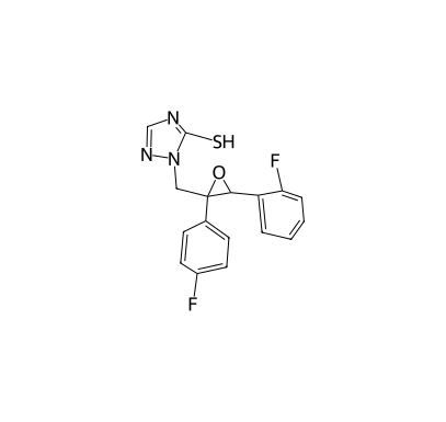 Fc1ccc(C2(Cn3ncnc3S)OC2c2ccccc2F)cc1